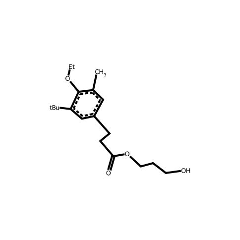 CCOc1c(C)cc(CCC(=O)OCCCO)cc1C(C)(C)C